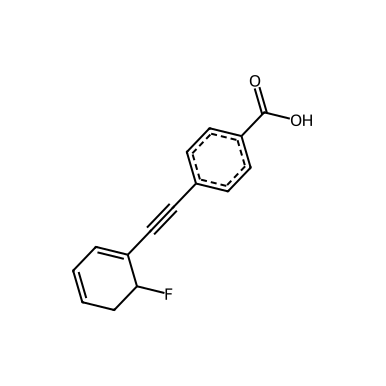 O=C(O)c1ccc(C#CC2=CC=CCC2F)cc1